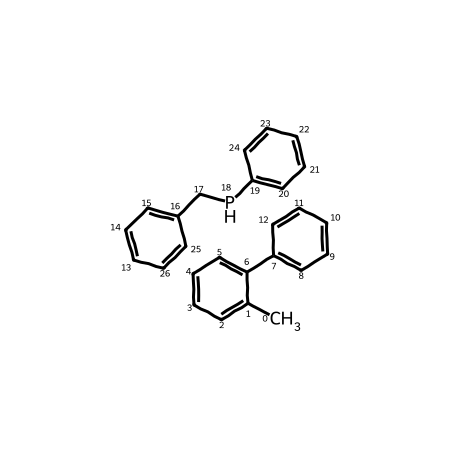 Cc1ccccc1-c1ccccc1.c1ccc(CPc2ccccc2)cc1